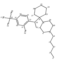 CCCCCC1CCC(C2(C(C)c3ccc(C(F)(F)F)cc3F)CCCCC2)CC1